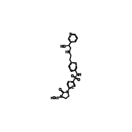 CCCCCCCCN1CCN(c2ccc(S(=O)(=O)Nc3ccc(CCNCC(O)c4cccnc4)cc3)cc2)C1=O